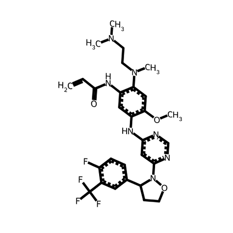 C=CC(=O)Nc1cc(Nc2cc(N3OCCC3c3ccc(F)c(C(F)(F)F)c3)ncn2)c(OC)cc1N(C)CCN(C)C